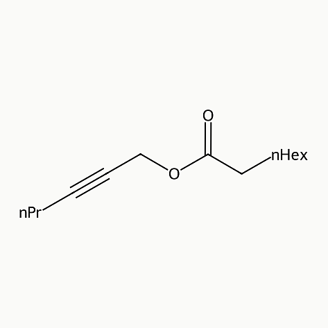 CCCC#CCOC(=O)CCCCCCC